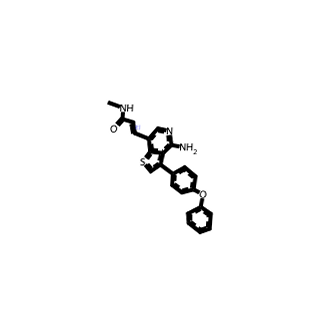 CNC(=O)/C=C/c1cnc(N)c2c(-c3ccc(Oc4ccccc4)cc3)csc12